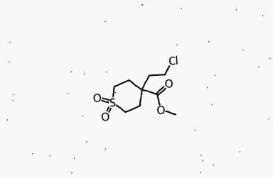 COC(=O)C1(CCCl)CCS(=O)(=O)CC1